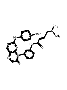 COc1ccc(Nc2ncc3ncc(=O)n(-c4cccc(NC(=O)/C=C/CN(C)C)c4)c3n2)cc1